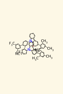 Cc1cc(C)c(-c2ccc3c(c2)c2ccccc2n3-c2ccc(-c3cc(C(F)(F)F)cc(C(F)(F)F)c3)c(-c3cc(C#N)ccc3-n3c4ccccc4c4cc(-c5c(C)cc(C)cc5C)ccc43)c2)c(C)c1